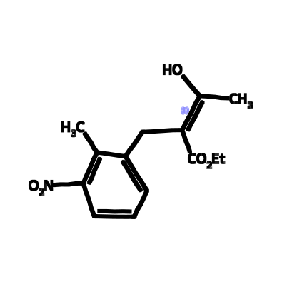 CCOC(=O)/C(Cc1cccc([N+](=O)[O-])c1C)=C(\C)O